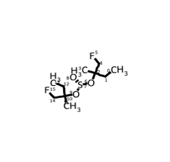 CCC(C)(CF)OS(=O)OC(C)(CC)CF